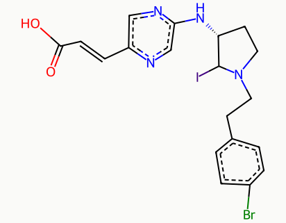 O=C(O)C=Cc1cnc(N[C@@H]2CCN(CCc3ccc(Br)cc3)C2I)cn1